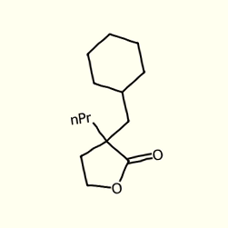 CCCC1(CC2CCCCC2)CCOC1=O